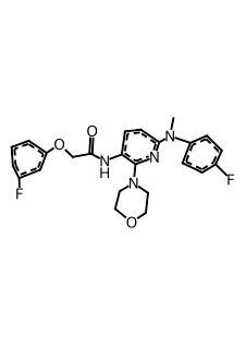 CN(c1ccc(F)cc1)c1ccc(NC(=O)COc2cccc(F)c2)c(N2CCOCC2)n1